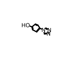 Oc1ccc(-n2cnnc2)cc1